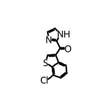 O=C(c1ncc[nH]1)c1csc2c(Cl)cccc12